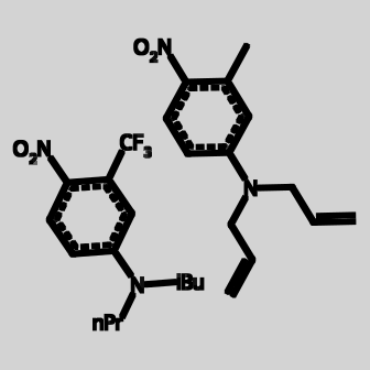 C=CCN(CC=C)c1ccc([N+](=O)[O-])c(C)c1.CCCN(c1ccc([N+](=O)[O-])c(C(F)(F)F)c1)C(C)CC